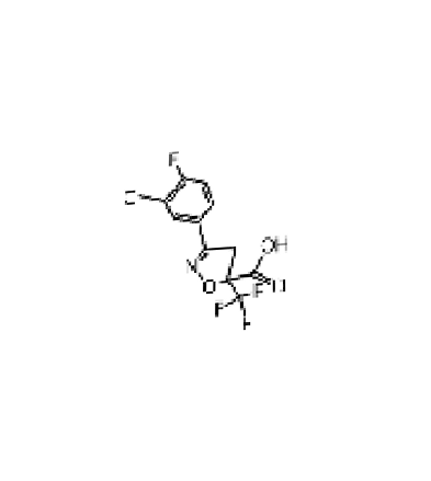 O=C(O)C1(C(F)(F)F)CC(c2ccc(F)c(Cl)c2)=NO1